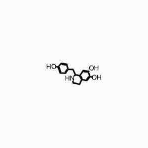 Oc1ccc(CC2NCCc3cc(O)c(O)cc32)cc1